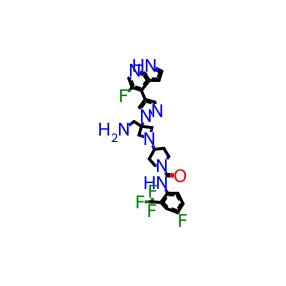 NCC1(n2cc(-c3c(F)cnc4[nH]ccc34)cn2)CN(C2CCN(C(=O)Nc3ccc(F)cc3C(F)(F)F)CC2)C1